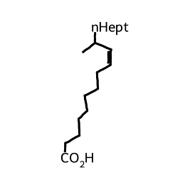 CCCCCCCC(C)/C=C\CCCCCCCC(=O)O